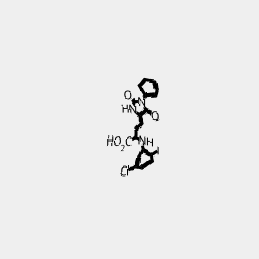 O=C(O)C(CC=C1NC(=O)N(c2ccccc2)C1=O)Nc1cc(Cl)ccc1I